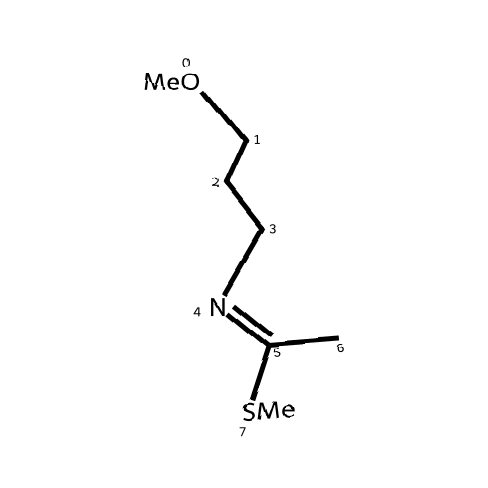 COCCCN=C(C)SC